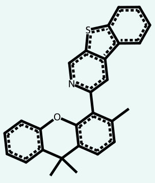 Cc1ccc2c(c1-c1cc3c(cn1)sc1ccccc13)Oc1ccccc1C2(C)C